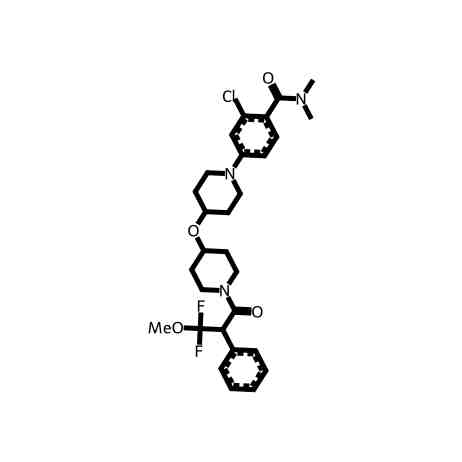 COC(F)(F)C(C(=O)N1CCC(OC2CCN(c3ccc(C(=O)N(C)C)c(Cl)c3)CC2)CC1)c1ccccc1